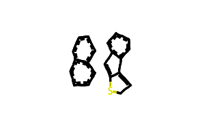 C1=C2SCC=C2c2ccccc21.c1ccc2ccccc2c1